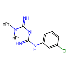 CCCN(CCC)C(=N)NC(=N)Nc1cccc(Cl)c1